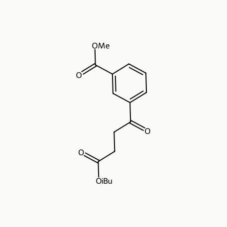 COC(=O)c1cccc(C(=O)CCC(=O)OCC(C)C)c1